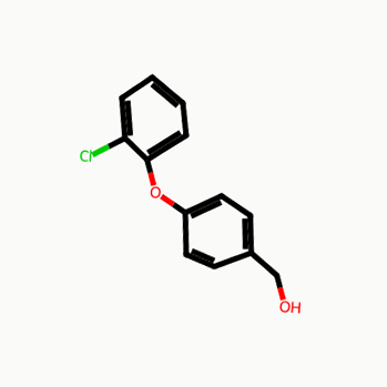 OCc1ccc(Oc2ccccc2Cl)cc1